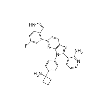 Nc1ncccc1-c1nc2ccc(-c3cc(F)cc4[nH]ccc34)nc2n1-c1ccc(C2(N)CCC2)cc1